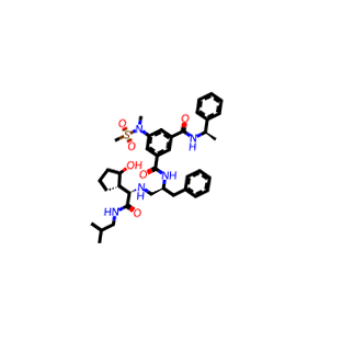 CC(C)CNC(=O)[C@@H](NC[C@H](Cc1ccccc1)NC(=O)c1cc(C(=O)N[C@H](C)c2ccccc2)cc(N(C)S(C)(=O)=O)c1)[C@@H]1CCCC1O